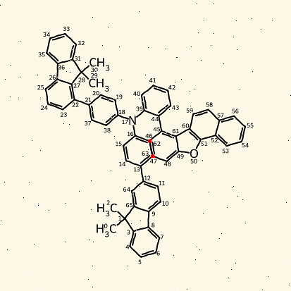 CC1(C)c2ccccc2-c2ccc(-c3ccc(N(c4ccc(-c5cccc6c5C(C)(C)c5ccccc5-6)cc4)c4ccccc4-c4cccc5oc6c7ccccc7ccc6c45)cc3)cc21